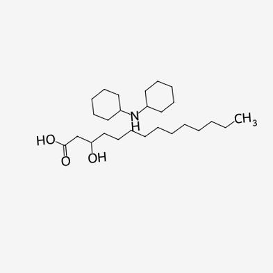 C1CCC(NC2CCCCC2)CC1.CCCCCCCCCCCC(O)CC(=O)O